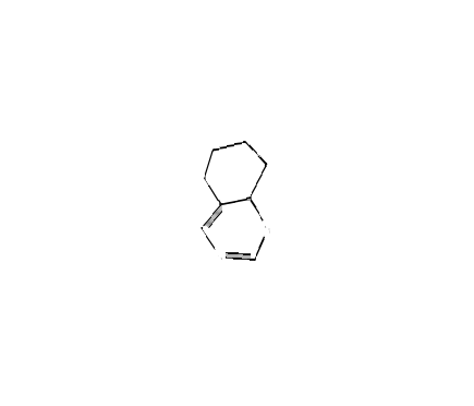 C1=NC=C2CCCCC2[N]1